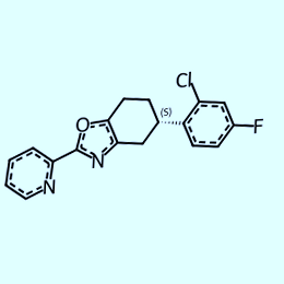 Fc1ccc([C@H]2CCc3oc(-c4ccccn4)nc3C2)c(Cl)c1